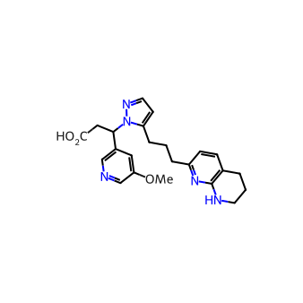 COc1cncc(C(CC(=O)O)n2nccc2CCCc2ccc3c(n2)NCCC3)c1